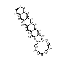 c1ccc2cc3cc4cc5cc(CN6COCOCOCOC6)ccc5cc4cc3cc2c1